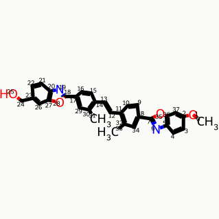 COc1ccc2nc(-c3ccc(C=Cc4ccc(-c5nc6ccc(CO)cc6o5)cc4C)c(C)c3)oc2c1